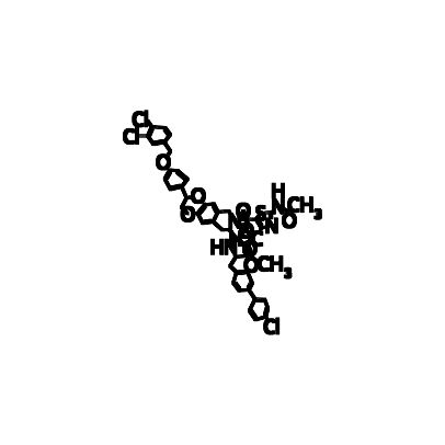 COC(=O)C(Cc1ccc(-c2ccc(Cl)cc2)cc1)NC(=O)C1Cc2cc3c(cc2CN1S(=O)(=O)c1sc(NC(C)=O)nc1C)OC(c1ccc(OCc2ccc(Cl)c(Cl)c2)cc1)CO3